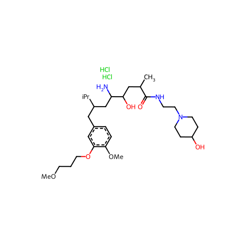 COCCCOc1cc(CC(CC(N)C(O)CC(C)C(=O)NCCN2CCC(O)CC2)C(C)C)ccc1OC.Cl.Cl